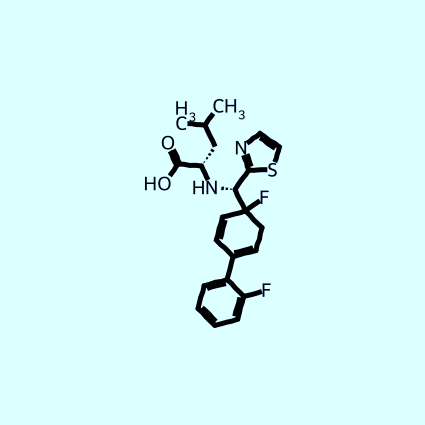 CC(C)C[C@H](N[C@H](c1nccs1)C1(F)C=CC(c2ccccc2F)=CC1)C(=O)O